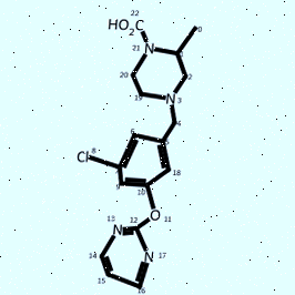 CC1CN(Cc2cc(Cl)cc(Oc3ncccn3)c2)CCN1C(=O)O